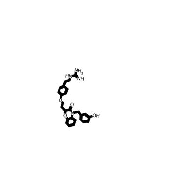 N=C(N)NCCc1ccc(OCCC2Oc3ccccc3N(Cc3cccc(O)c3)C2=O)cc1